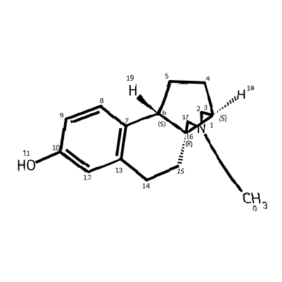 CN1C[C@H]2CC[C@H]3c4ccc(O)cc4CC[C@]23C1